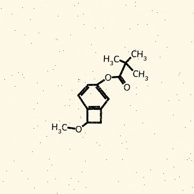 COC1Cc2cc(OC(=O)C(C)(C)C)ccc21